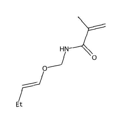 C=C(C)C(=O)NCOC=CCC